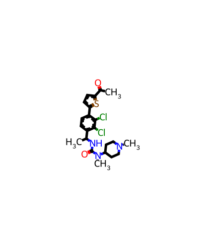 CC(=O)c1ccc(-c2ccc(C(C)NC(=O)N(C)C3CCN(C)CC3)c(Cl)c2Cl)s1